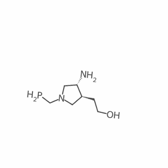 N[C@H]1CN(CP)C[C@@H]1CCO